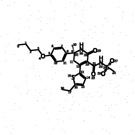 CCCCOc1ccc([C@]2(C)CC(c3ccc(CC)s3)=C(C(=O)NS(C)(=O)=O)C(=O)N2)cc1